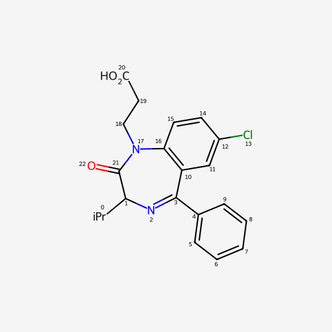 CC(C)C1N=C(c2ccccc2)c2cc(Cl)ccc2N(CCC(=O)O)C1=O